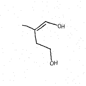 CC(=CO)CCO